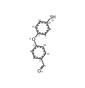 O=Cc1ccc(Oc2ccc(S)cc2)cc1